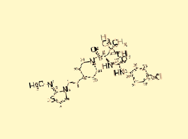 C/N=c1\sccn1CCC1CCN(C(=O)[C@H](NC(=O)Nc2ccc(Cl)cc2)C(C)(C)C)CC1